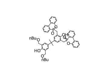 CCCCOCc1cc(C(C)(C)c2cc(CP3(=O)Oc4ccccc4-c4ccccc43)c(O)c(CP3(=O)Oc4ccccc4-c4ccccc43)c2)cc(COCCCC)c1O